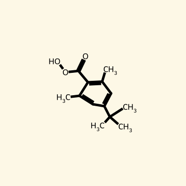 Cc1cc(C(C)(C)C)cc(C)c1C(=O)OO